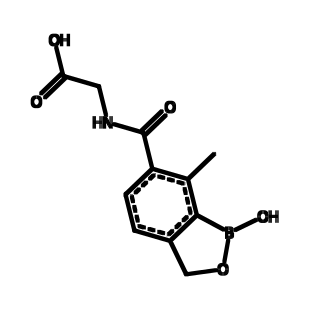 Cc1c(C(=O)NCC(=O)O)ccc2c1B(O)OC2